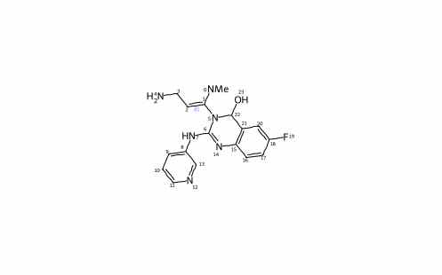 CN/C(=C\CN)N1C(Nc2cccnc2)=Nc2ccc(F)cc2C1O